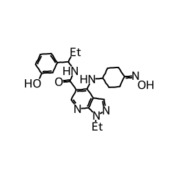 CCC(NC(=O)c1cnc2c(cnn2CC)c1NC1CCC(=NO)CC1)c1cccc(O)c1